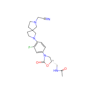 CC(=O)NC[C@H]1CN(c2ccc(N3CCC4(CCN(CC#N)C4)C3)c(F)c2)C(=O)O1